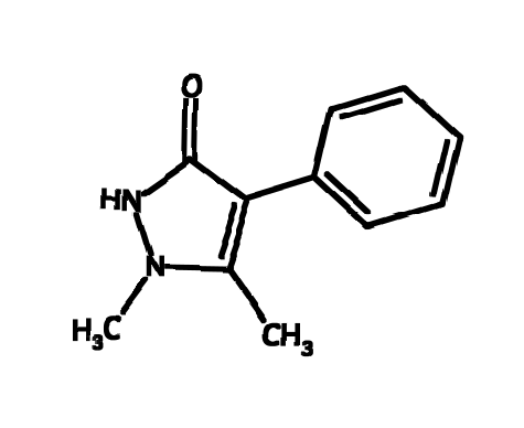 Cc1c(-c2ccccc2)c(=O)[nH]n1C